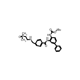 CC(C)(C)OC(=O)Nc1ccc(-c2ccccc2)cc1NC(=O)c1ccc(CNCCP(C)(C)=O)cc1